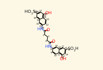 O=C(CCCC(=O)Nc1ccc2c(O)cc(S(=O)(=O)O)cc2c1)Nc1ccc2c(O)cc(S(=O)(=O)O)cc2c1